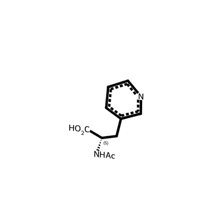 CC(=O)N[C@@H](Cc1cccnc1)C(=O)O